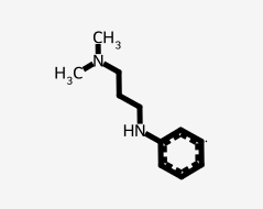 CN(C)CCCNc1c[c]ccc1